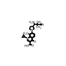 Cc1c(N2CCC(C(N)C(C)(C)C#N)C2)ccc2c(=O)c(C(=O)O)cn(C3CC3)c12